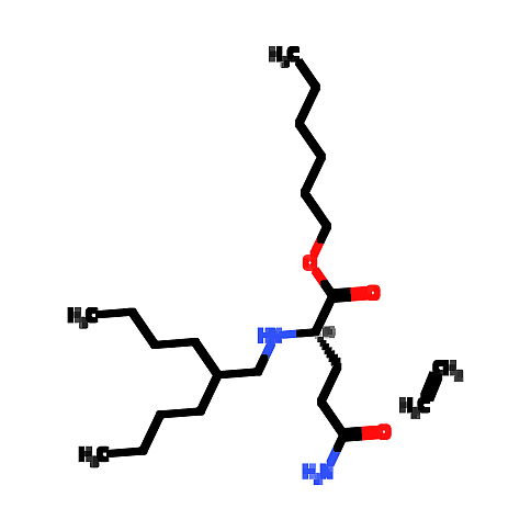 C=C.CCCCCCOC(=O)[C@H](CCC(N)=O)NCC(CCCC)CCCC